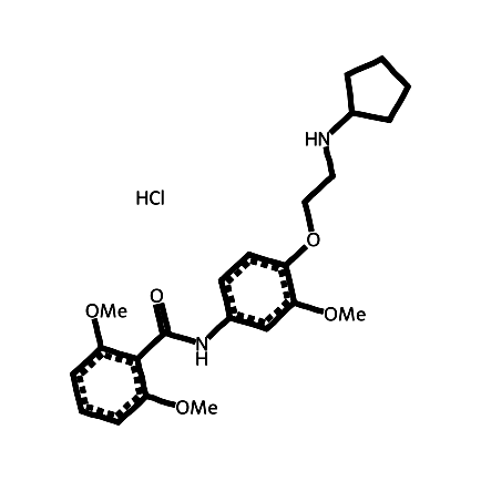 COc1cc(NC(=O)c2c(OC)cccc2OC)ccc1OCCNC1CCCC1.Cl